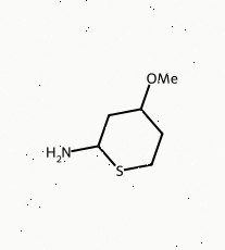 COC1CCSC(N)C1